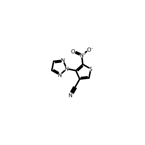 N#Cc1csc([N+](=O)[O-])c1-n1nccn1